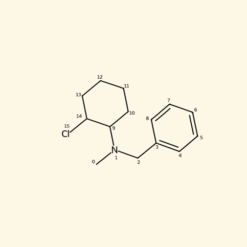 CN(Cc1ccccc1)C1CCCCC1Cl